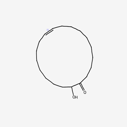 O=C1CCCCCCCC/C=C\CCCCCCCC1O